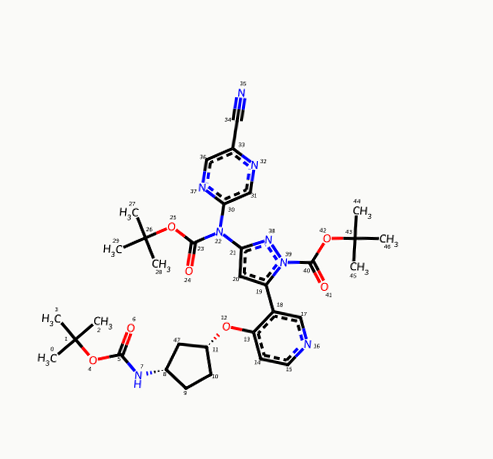 CC(C)(C)OC(=O)N[C@H]1CC[C@@H](Oc2ccncc2-c2cc(N(C(=O)OC(C)(C)C)c3cnc(C#N)cn3)nn2C(=O)OC(C)(C)C)C1